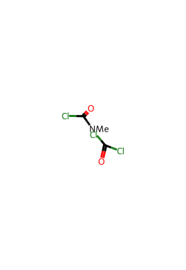 CNC(=O)Cl.O=C(Cl)Cl